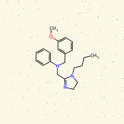 CCCCN1CCN=C1CN(Cc1cccc(OC)c1)c1ccccc1